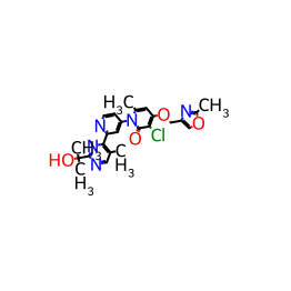 Cc1nc(COc2cc(C)n(-c3ccnc(-c4nc(C(C)(C)O)ncc4C)c3)c(=O)c2Cl)co1